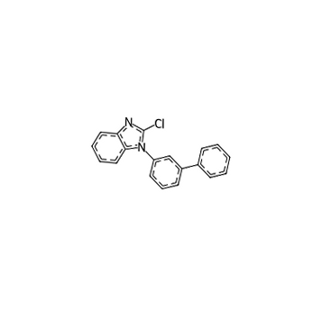 Clc1nc2ccccc2n1-c1cccc(-c2ccccc2)c1